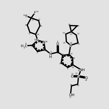 Cc1cc(NC(=O)c2ccc(NS(=O)(=O)CCO)cc2N2CCC3(CC2)CC3)nn1C1CCC(F)(F)CC1